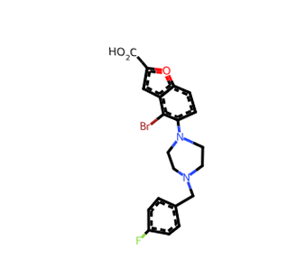 O=C(O)c1cc2c(Br)c(N3CCN(Cc4ccc(F)cc4)CC3)ccc2o1